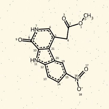 COC(=O)Cc1c[nH]c(=O)c2[nH]c3ccc([N+](=O)[O-])cc3c12